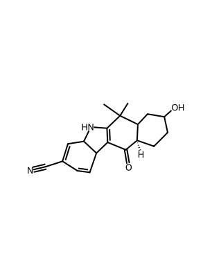 CC1(C)C2=C(C(=O)[C@@H]3CCC(O)CC31)C1C=CC(C#N)=CC1N2